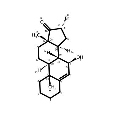 C[C@]12CCCCC1=C[C@H](O)[C@@H]1[C@@H]2CC[C@]2(C)C(=O)[C@H](Br)C[C@@H]12